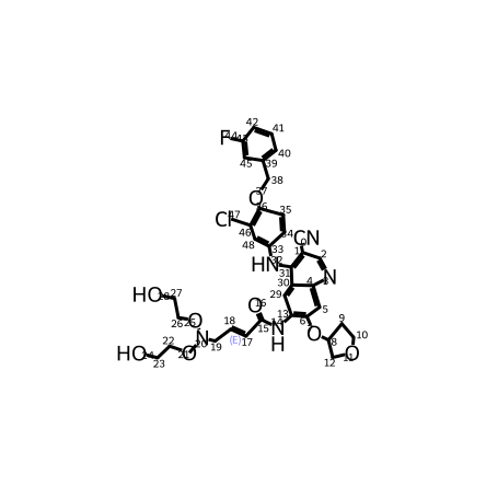 N#Cc1cnc2cc(OC3CCOC3)c(NC(=O)/C=C/CN(OCCO)OCCO)cc2c1Nc1ccc(OCc2cccc(F)c2)c(Cl)c1